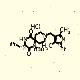 CCCCN1C(=O)[C@H](CC(C)C)NC(=O)C12CCN(Cc1c(C)nn(CC)c1C)CC2.Cl